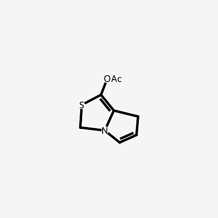 CC(=O)OC1=C2CC=CN2CS1